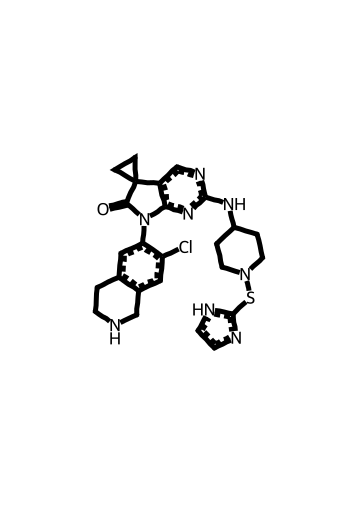 O=C1N(c2cc3c(cc2Cl)CNCC3)c2nc(NC3CCN(Sc4ncc[nH]4)CC3)ncc2C12CC2